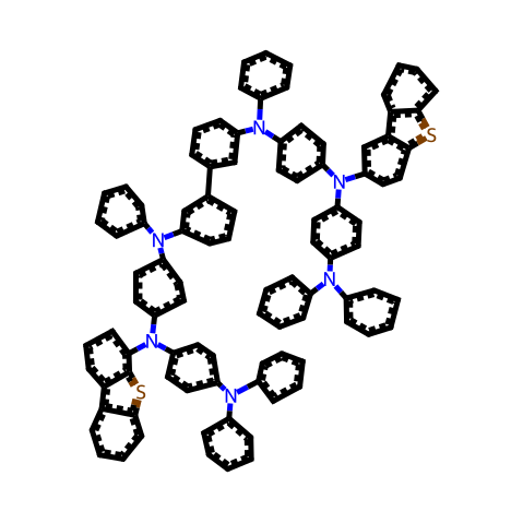 c1ccc(N(c2ccccc2)c2ccc(N(c3ccc(N(c4ccccc4)c4cccc(-c5cccc(N(c6ccccc6)c6ccc(N(c7ccc(N(c8ccccc8)c8ccccc8)cc7)c7cccc8c7sc7ccccc78)cc6)c5)c4)cc3)c3ccc4sc5ccccc5c4c3)cc2)cc1